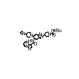 CC(C)(C)OC(=O)N1CCC(n2cc3cc(NC(=O)c4cnn5cccnc45)c(N4CCC(N5CCC5)CC4)cc3n2)CC1